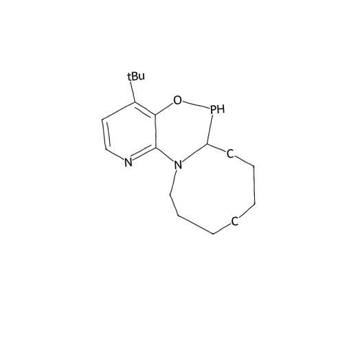 CC(C)(C)c1ccnc2c1OPC1CCCCCCCN21